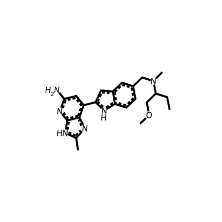 CCC(COC)N(C)Cc1ccc2[nH]c(-c3cc(N)nc4[nH]c(C)nc34)cc2c1